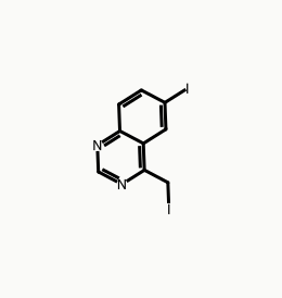 ICc1ncnc2ccc(I)cc12